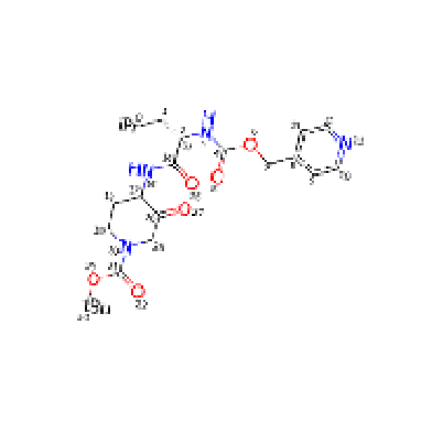 CC(C)C[C@H](NC(=O)OCc1ccncc1)C(=O)NC1CCN(C(=O)OC(C)(C)C)CC1=O